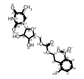 Cc1cn([C@@H]2O[C@H](COC(=O)OCCc3c(F)cccc3[N+](=O)[O-])C(O)C2O)c(=O)[nH]c1=O